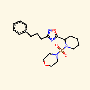 O=S(=O)(N1CCOCC1)N1CCCCC1c1nc(CCCc2ccccc2)no1